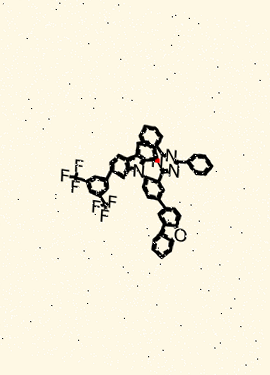 FC(F)(F)c1cc(-c2ccc3c4ccccc4n(-c4ccc(-c5ccc6oc7ccccc7c6c5)cc4-c4nc(-c5ccccc5)nc(-c5ccccc5)n4)c3c2)cc(C(F)(F)F)c1